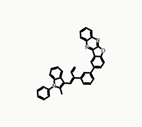 C=C/C(=C\c1c(C)n(-c2ccccc2)c2ccccc12)c1cccc(-c2ccc3oc4nc5ccccc5nc4c3c2)c1